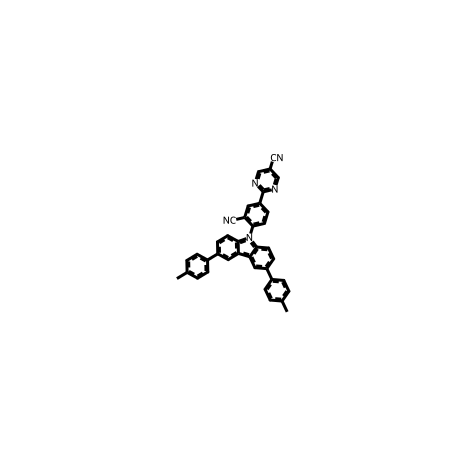 Cc1ccc(-c2ccc3c(c2)c2cc(-c4ccc(C)cc4)ccc2n3-c2ccc(-c3ncc(C#N)cn3)cc2C#N)cc1